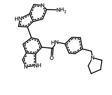 Nc1cc2c(-c3cc(C(=O)Nc4ccc(CN5CCCC5)cc4)c4[nH]ncc4c3)c[nH]c2cn1